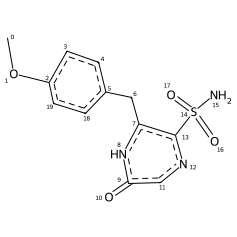 COc1ccc(Cc2[nH]c(=O)cnc2S(N)(=O)=O)cc1